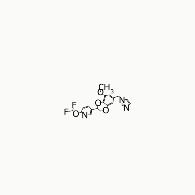 COc1cc(Cn2ccnc2)cc2c1OC(c1ccc(OC(F)F)nc1)CO2